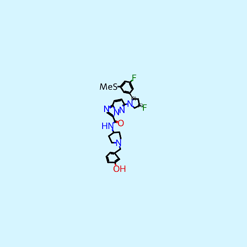 CSc1cc(F)cc([C@H]2C[C@H](F)CN2c2ccc3ncc(C(=O)NC4CCN(Cc5cccc(O)c5)CC4)n3n2)c1